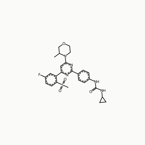 CC1COCCN1c1cc(-c2cc(F)ccc2S(C)(=O)=O)nc(-c2ccc(NC(=O)NC3CC3)cc2)n1